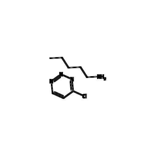 CCCCCN.Clc1ccnnn1